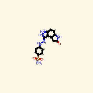 NS(=O)(=O)c1ccc(NN=c2[nH][nH]c3ccc4c(c23)CC(=O)N4)cc1